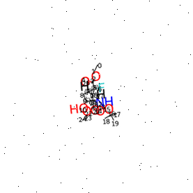 CCOC(=O)[C@@]1(F)[C@@H]2C[C@H](O)[C@@](NC(=O)OC(C)(C)C)(C(=O)OCC)[C@@H]21